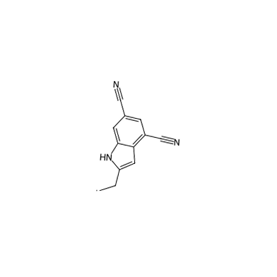 [CH2]Cc1cc2c(C#N)cc(C#N)cc2[nH]1